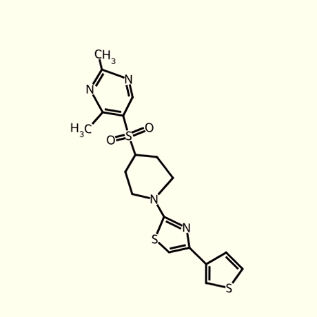 Cc1ncc(S(=O)(=O)C2CCN(c3nc(-c4ccsc4)cs3)CC2)c(C)n1